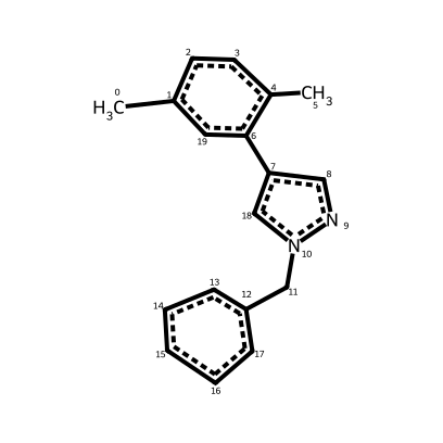 Cc1ccc(C)c(-c2cnn(Cc3ccccc3)c2)c1